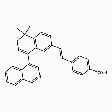 CC1(C)CC=C(c2cncc3ccccc23)c2cc(C=Cc3ccc(C(=O)O)cc3)ccc21